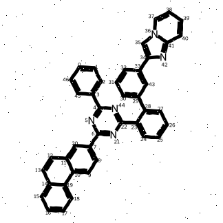 c1ccc(-c2nc(-c3ccc4c(ccc5ccccc54)c3)nc(-c3ccccc3-c3cccc(-c4cn5ccccc5n4)c3)n2)cc1